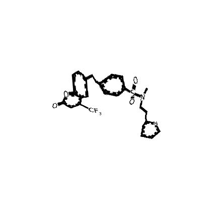 CN(CCc1ccccn1)S(=O)(=O)c1ccc(Cc2ccc3oc(=O)cc(C(F)(F)F)c3c2)cc1